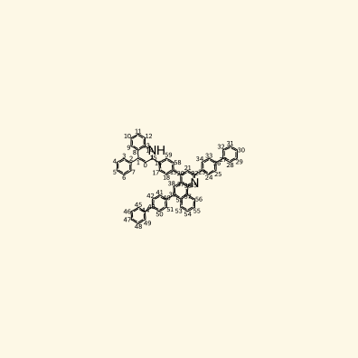 C1=C(c2ccccc2)c2ccccc2NC1c1ccc(-c2cc(-c3ccc(-c4ccccc4)cc3)nc3c2cc(-c2ccc(-c4ccccc4)cc2)c2ccccc23)cc1